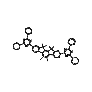 Cc1c(C)c2c(c3c1-c1ccc(-c4nc(C5=CC=CCC5)nc(-c5ccccc5)n4)cc1C3(C)C)C(C)(C)c1cc(-c3nc(-c4ccccc4)nc(-c4ccccc4)n3)ccc1-2